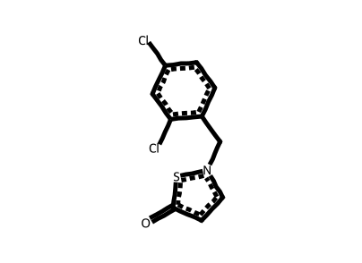 O=c1ccn(Cc2ccc(Cl)cc2Cl)s1